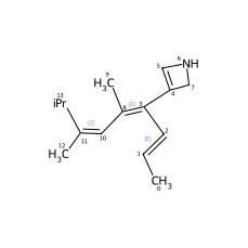 C/C=C/C(C1=CNC1)=C(C)\C=C(\C)C(C)C